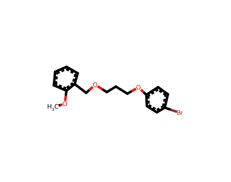 COc1ccccc1COCCCOc1ccc(Br)cc1